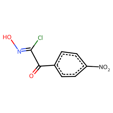 O=C(/C(Cl)=N/O)c1ccc([N+](=O)[O-])cc1